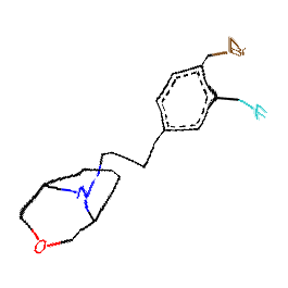 Fc1cc(CCN2C3CCC2COC3)ccc1Br